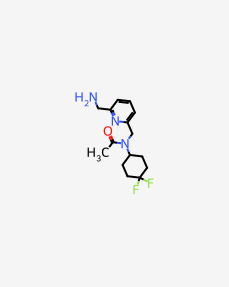 CC(=O)N(Cc1cccc(CN)n1)C1CCC(F)(F)CC1